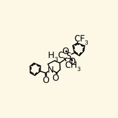 CC(C)(C1CCN(C(=O)c2ccccc2)C(=O)C1)S(=O)(=O)c1cccc(C(F)(F)F)c1